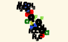 COc1cc(C(C)(C)c2cnc(SCc3c(F)cc(S(=O)(=O)N4CC([N+](C)(C)C)C4)cc3Cl)n2-c2ccc(F)cc2)ccc1Cl